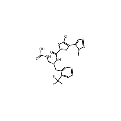 Cn1nccc1-c1cc(C(=O)N[C@H](CNC(=O)O)Cc2ccccc2C(F)(F)F)sc1Cl